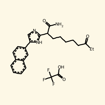 CCC(=O)CCCCCC(C(N)=O)c1ncc(-c2ccc3ccccc3c2)[nH]1.O=C(O)C(F)(F)F